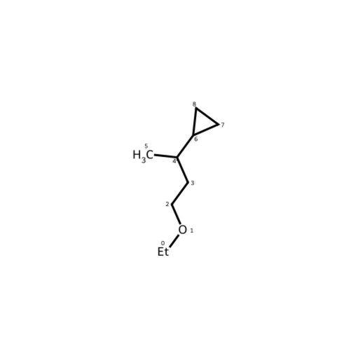 CCOCC[C](C)C1CC1